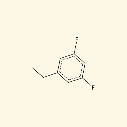 CCc1cc(F)cc(F)c1